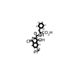 CC(C)Oc1ccc2c(Cl)nc(C(=O)N[C@H](Cc3ccccc3)C(=O)O)c(O)c2c1